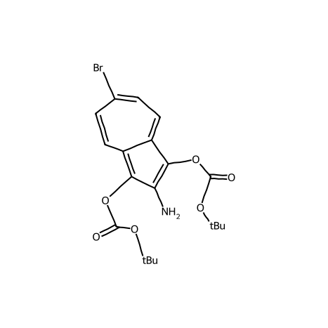 CC(C)(C)OC(=O)Oc1c2ccc(Br)ccc-2c(OC(=O)OC(C)(C)C)c1N